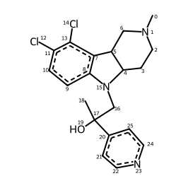 CN1CCC2C(C1)c1c(ccc(Cl)c1Cl)N2CC(C)(O)c1ccncc1